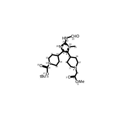 COC(=O)CN1CCC(c2c(C3CCN(C(=O)OC(C)(C)C)CC3)nc(NC=O)n2C)CC1